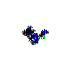 Cc1cc(-n2nnc(-c3ccccn3)n2)ccc1Cl.Cc1ccc(-n2nnc(-c3ccccn3)n2)cc1I.FC(F)(F)c1ccc(Cl)c(-n2nnc(-c3ccccn3)n2)c1.N#Cc1ccc(-n2nnc(-c3ccccn3)n2)cc1Cl.c1ccc(-c2nnn(-c3ccc4c(c3)OCO4)n2)nc1